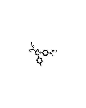 CCOC(=O)c1cc(-c2ccc(C)cc2)n(-c2ccc(N(C)C=O)cc2)n1